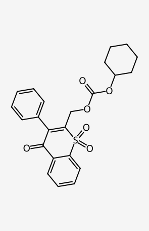 O=C(OCC1=C(c2ccccc2)C(=O)c2ccccc2S1(=O)=O)OC1CCCCC1